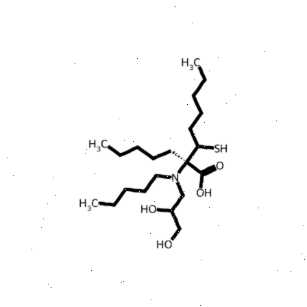 CCCCCC(S)[C@@](CCCCC)(C(=O)O)N(CCCCC)CC(O)CO